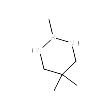 CB1NCC(C)(C)CN1